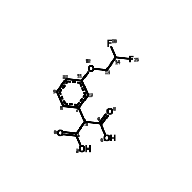 O=C(O)C(C(=O)O)c1cccc(OCC(F)F)c1